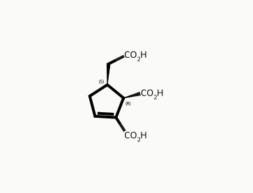 O=C(O)C[C@@H]1CC=C(C(=O)O)[C@@H]1C(=O)O